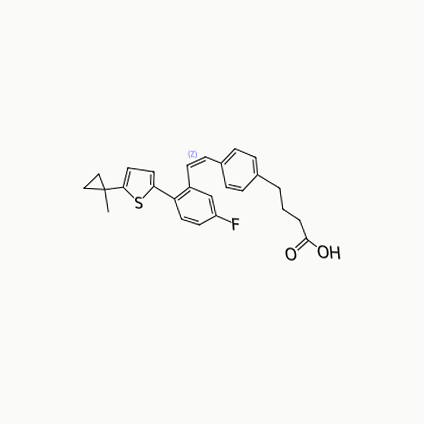 CC1(c2ccc(-c3ccc(F)cc3/C=C\c3ccc(CCCC(=O)O)cc3)s2)CC1